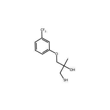 CC(O)(CS)COc1cccc(C(F)(F)F)c1